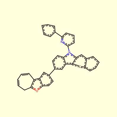 C1=CCc2oc3ccc(-c4ccc5c(c4)c4cc6ccccc6cc4n5-c4cccc(-c5ccccc5)n4)cc3c2C=C1